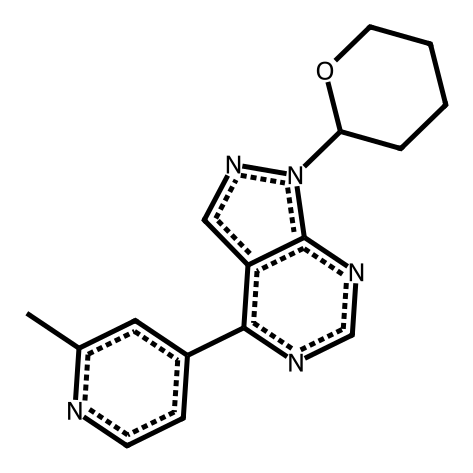 Cc1cc(-c2ncnc3c2cnn3C2CCCCO2)ccn1